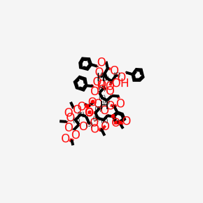 CC(=O)OCC1O[C@@H](O[C@@H]2C(OC(C)=O)[C@H](O[C@@H]3C(OC(=O)c4ccccc4)[C@H](O[C@H]4[C@@H]5OC(c6ccccc6)OCC5O[C@H](OCc5ccccc5)C4(O)O)OC4COC(c5ccccc5)O[C@H]43)OC(COC(C)=O)[C@H]2OC(C)=O)C(OC(C)=O)[C@@H](OC(C)=O)[C@@H]1OC(C)=O